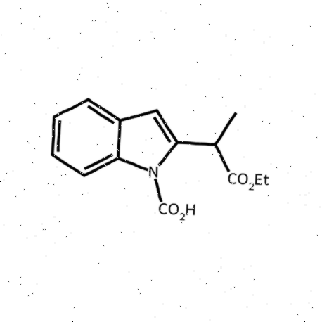 CCOC(=O)C(C)c1cc2ccccc2n1C(=O)O